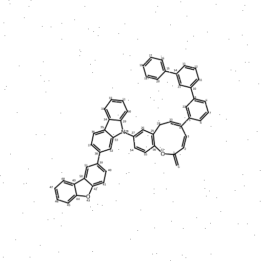 C=C1/C=C\C(c2cccc(-c3cccc(-c4ccccc4)c3)c2)=C/Cc2cc(-n3c4ccccc4c4ccc(-c5ccc6oc7ccccc7c6c5)cc43)ccc2O1